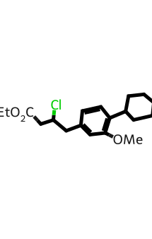 CCOC(=O)CC(Cl)Cc1ccc(C2CCCCC2)c(OC)c1